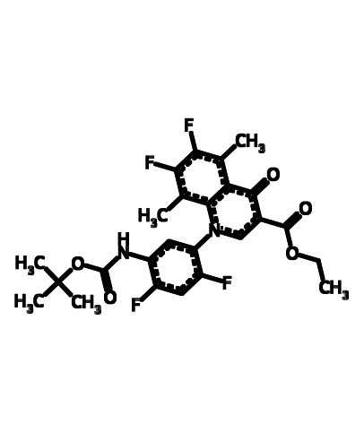 CCOC(=O)c1cn(-c2cc(NC(=O)OC(C)(C)C)c(F)cc2F)c2c(C)c(F)c(F)c(C)c2c1=O